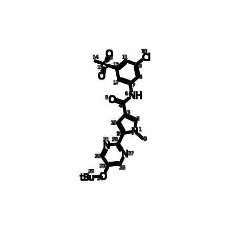 Cn1cc(C(=O)Nc2cc(Cl)cc(S(C)(=O)=O)c2)cc1-c1ncc(OC(C)(C)C)cn1